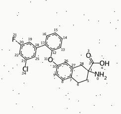 NC1(C(=O)O)CCc2ccc(Oc3ccccc3-c3cc(F)cc(Cl)c3)cc2C1